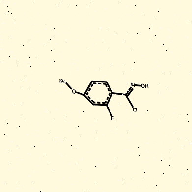 CC(C)Oc1ccc(/C(Cl)=N/O)c(F)c1